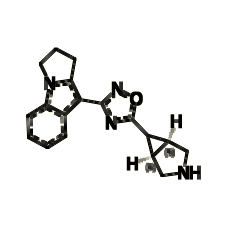 c1ccc2c(c1)c(-c1noc(C3[C@H]4CNC[C@@H]34)n1)c1n2CCC1